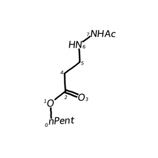 CCCCCOC(=O)CCNNC(C)=O